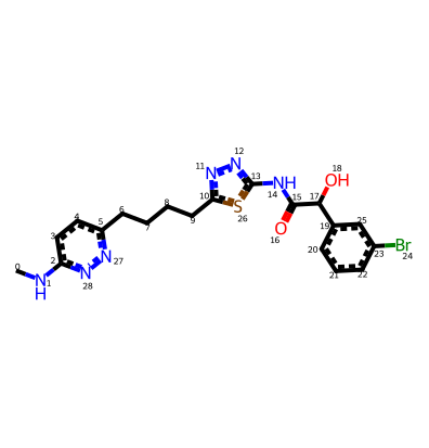 CNc1ccc(CCCCc2nnc(NC(=O)C(O)c3cccc(Br)c3)s2)nn1